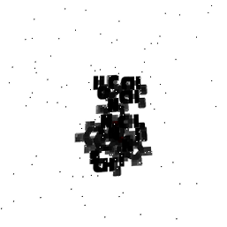 CSc1ccc(C2(CCN3[C@@H]4CC[C@H]3C[C@@H](n3c(C)nc5ccccc53)C4)CCN(C(=O)C(C)(C)C)CC2)cc1